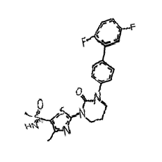 Cc1nc(N2CCCN(c3ccc(-c4cc(F)ccc4F)cc3)C2=O)sc1[S@](C)(=N)=O